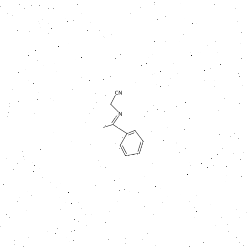 C/C(=N\CC#N)c1ccccc1